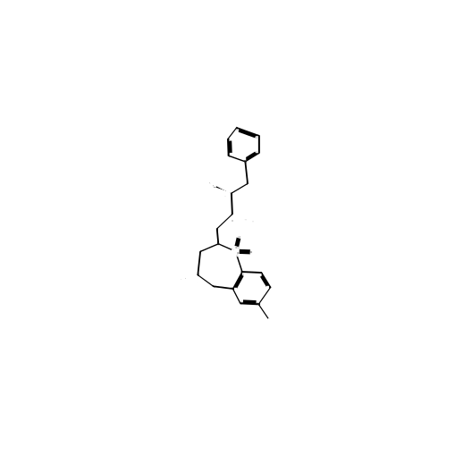 C[C@H]1Cc2cc(F)ccc2S(=O)(=O)C(C[C@@H](O)[C@@H](N)Cc2ccccc2)C1